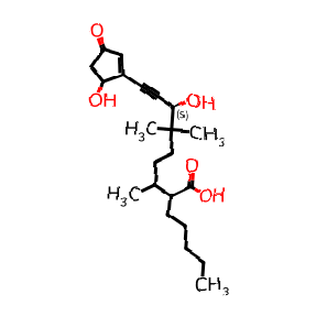 CCCCCC(C(=O)O)C(C)CCC(C)(C)[C@H](O)C#CC1=CC(=O)CC1O